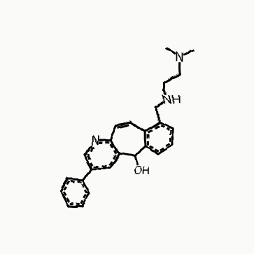 CN(C)CCNCc1cccc2c1C=Cc1ncc(-c3ccccc3)cc1C2O